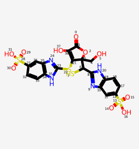 O=C1OC(CO)(C(S)c2nc3cc(S(=O)(=O)O)ccc3[nH]2)C(Sc2nc3cc(S(=O)(=O)O)ccc3[nH]2)=C1O